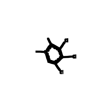 Cc1c(Cl)c(Cl)c(Cl)c[si]1C